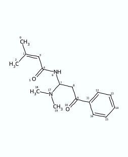 CC(C)=CC(=O)NC(CC(=O)c1ccccc1)N(C)C